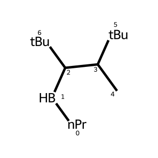 CCCBC(C(C)C(C)(C)C)C(C)(C)C